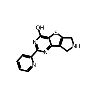 Oc1nc(-c2ccccn2)nc2c3c(sc12)CNC3